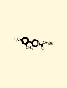 CCCCOC(=O)N1CCC(c2ccc(C(F)(F)F)cc2C)CC1